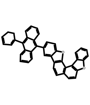 C1=CCCC(c2c3ccccc3c(-c3ccc4oc5c(ccc6ccc7oc8ccccc8c7c65)c4c3)c3ccccc23)=C1